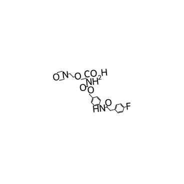 O=C(Cc1ccc(F)cc1)Nc1ccc(COC(=O)NC(COCCN2CCOCC2)C(=O)O)cc1